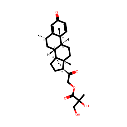 C[C@H]1C[C@H]2[C@@H]3CC[C@H](C(=O)COC(=O)C(C)(O)CO)[C@@]3(C)CC[C@@H]2[C@@]2(C)C=CC(=O)C=C12